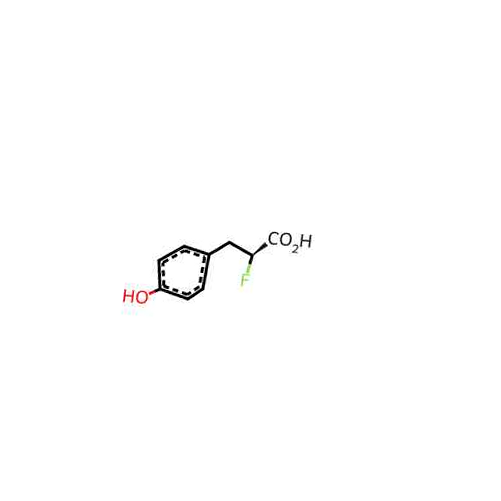 O=C(O)[C@@H](F)Cc1ccc(O)cc1